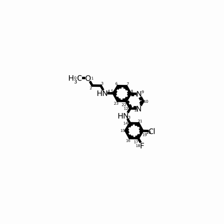 COCCNc1ccc2ncnc(Nc3ccc(F)c(Cl)c3)c2c1